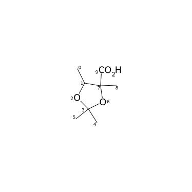 CC1OC(C)(C)OC1(C)C(=O)O